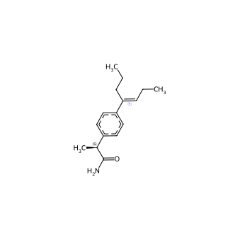 CC/C=C(\CCC)c1ccc([C@H](C)C(N)=O)cc1